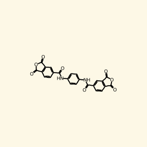 O=C(Nc1ccc(NC(=O)c2ccc3c(c2)C(=O)OC3=O)cc1)c1ccc2c(c1)C(=O)OC2=O